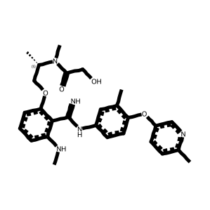 CNc1cccc(OC[C@H](C)N(C)C(=O)CO)c1C(=N)Nc1ccc(Oc2ccc(C)nc2)c(C)c1